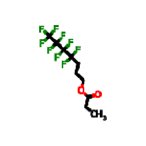 CCC(=O)OCCCC(F)(F)C(F)(F)C(F)(F)C(F)(F)F